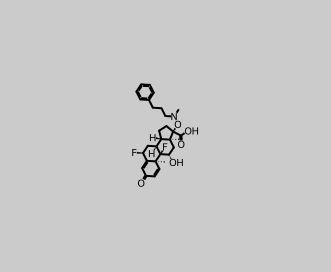 CN(CCCc1ccccc1)O[C@]1(C(=O)O)CC[C@H]2[C@@H]3C[C@H](F)C4=CC(=O)C=C[C@]4(C)[C@@]3(F)[C@@H](O)C[C@@]21C